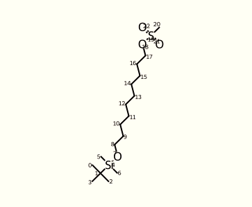 CC(C)(C)[Si](C)(C)OCCCCCCCCCCOS(C)(=O)=O